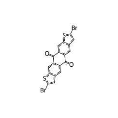 O=C1c2cc3cc(Br)sc3cc2C(=O)c2cc3sc(Br)cc3cc21